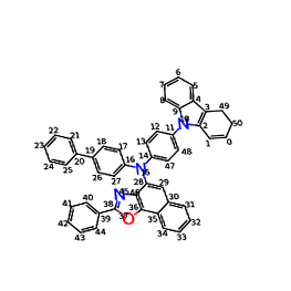 C1=Cc2c(c3ccccc3n2-c2ccc(N(c3ccc(-c4ccccc4)cc3)c3cc4ccccc4c4oc(-c5ccccc5)nc34)cc2)CC1